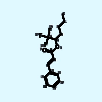 CCCCC(OC(=O)C=Cc1cc[c]cc1)C(F)(F)F